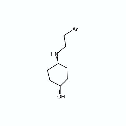 CC(=O)CCN[C@H]1CC[C@@H](O)CC1